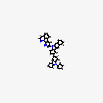 c1ccc(-n2c3ccccc3c3cc(-c4ccc5c(c4)c4cc6ccccc6cc4n5-c4cnc5c(c4)-c4cccc6ccnc-5c46)ccc32)cc1